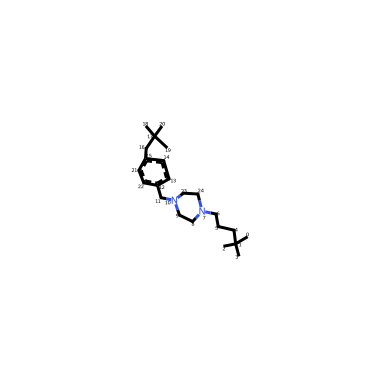 CC(C)(C)CCCN1CCN(Cc2ccc(CC(C)(C)C)cc2)CC1